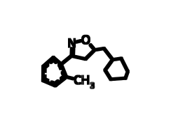 Cc1ccccc1C1=NOC(CC2CCCCC2)C1